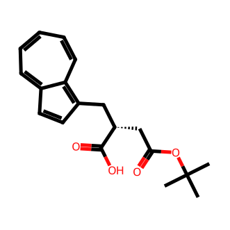 CC(C)(C)OC(=O)C[C@@H](Cc1ccc2cccccc1-2)C(=O)O